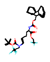 CC(C)(C)OC(=O)N(CCCCC(NC(=O)OCC1c2ccccc2-c2ccccc21)C(=O)OCC(F)(F)F)CC(F)(F)F